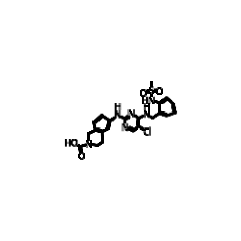 CS(=O)(=O)Nc1ccccc1CNc1nc(Nc2ccc3c(c2)CCN(C(=O)O)C3)ncc1Cl